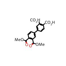 COC(=O)c1ccc(-c2ccc(C(=O)O)c(C(=O)O)c2)cc1C(=O)OC